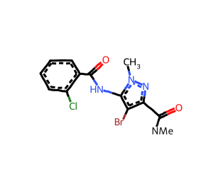 CNC(=O)c1nn(C)c(NC(=O)c2ccccc2Cl)c1Br